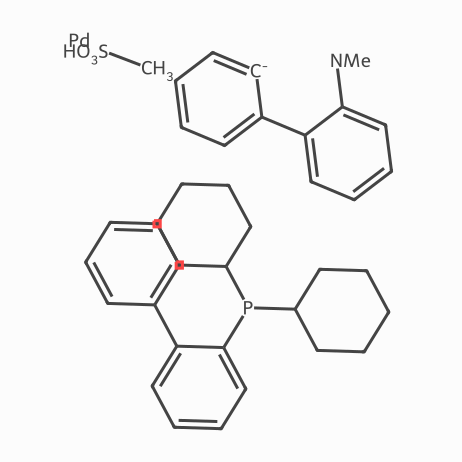 CNc1ccccc1-c1[c-]cccc1.CS(=O)(=O)O.[Pd].c1ccc(-c2ccccc2P(C2CCCCC2)C2CCCCC2)cc1